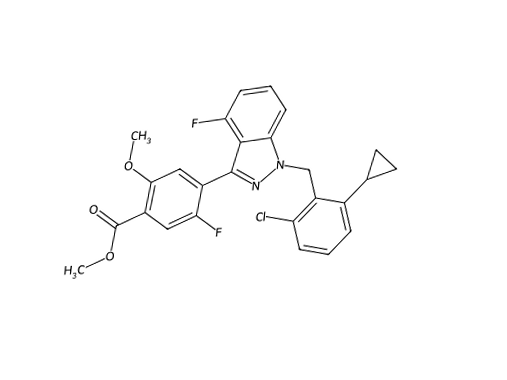 COC(=O)c1cc(F)c(-c2nn(Cc3c(Cl)cccc3C3CC3)c3cccc(F)c23)cc1OC